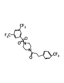 O=C(CCc1ccc(C(F)(F)F)cc1)N1CCN(S(=O)(=O)c2cc(C(F)(F)F)cc(C(F)(F)F)c2)CC1